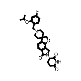 CC(C)Oc1cc(F)ccc1CN1CCC2(CC1)COc1c2ccc2c1CN([C@H]1CCC(=O)NC1=O)C2=O